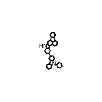 C1=CCCC(n2c3ccccc3c3cc(C4C=Cc5[nH]c6cc7c8c(cccc8c6c5C4)-c4ccccc4-7)ccc32)=C1